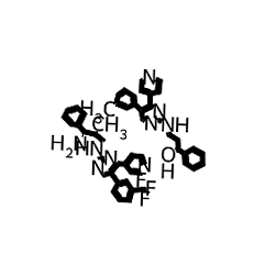 C[C@@H](CNc1ncc(-c2cccc(C(F)(F)F)c2)c(-c2ccncc2)n1)[C@H](N)c1ccccc1.Cc1cccc(-c2cnc(NCCC(O)c3ccccc3)nc2-c2ccncc2)c1